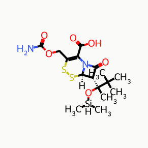 C[SiH](C)OC(C)([C@H]1C(=O)N2C(C(=O)O)=C(COC(N)=O)SS[C@H]12)C(C)(C)C